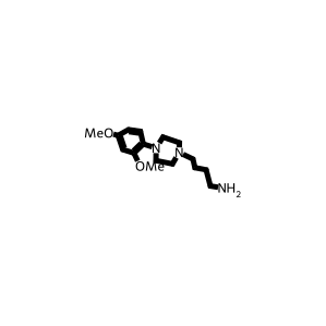 COc1ccc(N2CCN(CCCCN)CC2)c(OC)c1